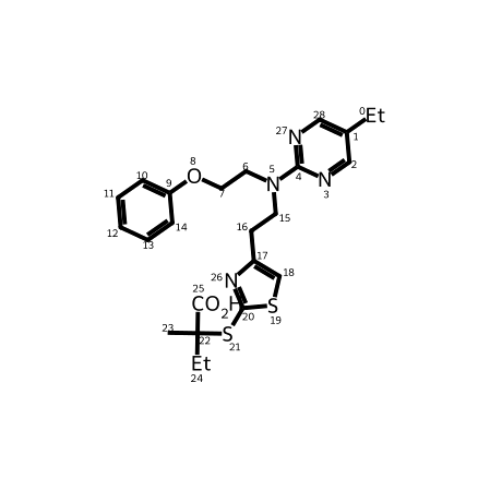 CCc1cnc(N(CCOc2ccccc2)CCc2csc(SC(C)(CC)C(=O)O)n2)nc1